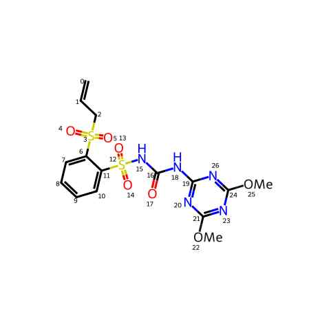 C=CCS(=O)(=O)c1ccccc1S(=O)(=O)NC(=O)Nc1nc(OC)nc(OC)n1